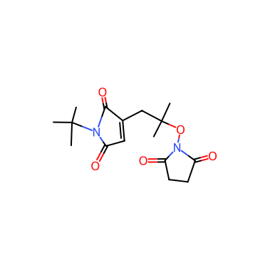 CC(C)(CC1=CC(=O)N(C(C)(C)C)C1=O)ON1C(=O)CCC1=O